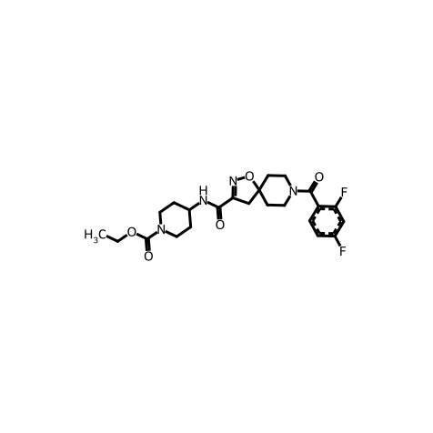 CCOC(=O)N1CCC(NC(=O)C2=NOC3(CCN(C(=O)c4ccc(F)cc4F)CC3)C2)CC1